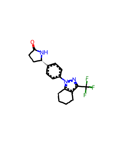 O=C1CC[C@@H](c2ccc(-n3nc(C(F)(F)F)c4c3CCCC4)cc2)N1